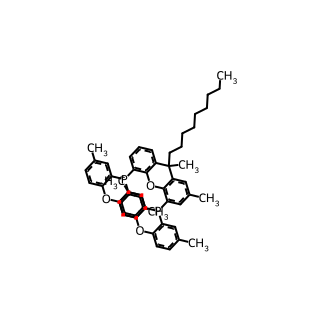 CCCCCCCCCC1(C)c2cccc(P3c4cc(C)ccc4Oc4ccc(C)cc43)c2Oc2c(P3c4cc(C)ccc4Oc4ccc(C)cc43)cc(C)cc21